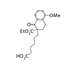 CCOC(=O)C1(CCCCCC(=O)O)CCc2c(OC)cccc2C1=O